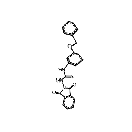 O=C1c2ccccc2C(=O)N1NC(=S)Nc1cccc(OCc2ccccc2)c1